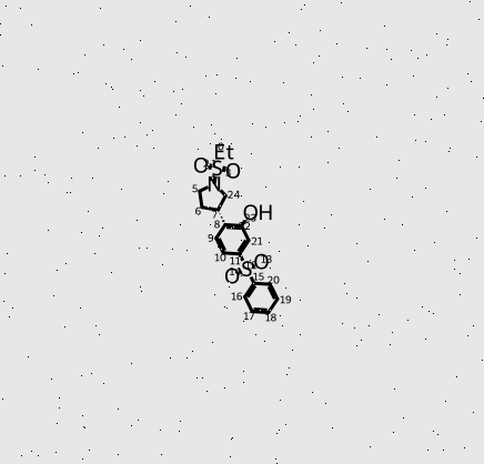 CCS(=O)(=O)N1CC[C@@H](c2ccc(S(=O)(=O)c3ccccc3)cc2O)C1